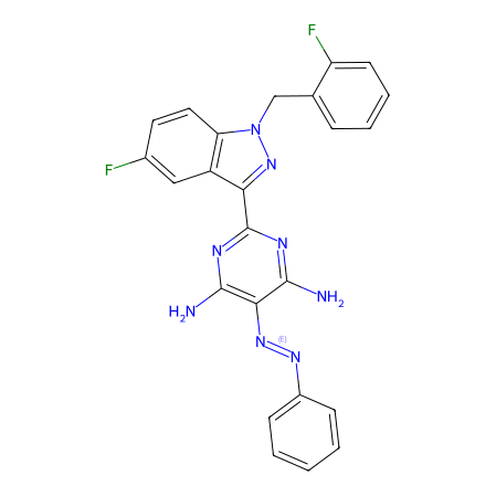 Nc1nc(-c2nn(Cc3ccccc3F)c3ccc(F)cc23)nc(N)c1/N=N/c1ccccc1